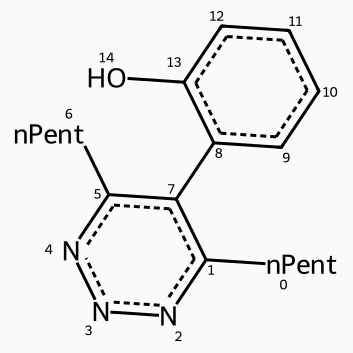 CCCCCc1nnnc(CCCCC)c1-c1ccccc1O